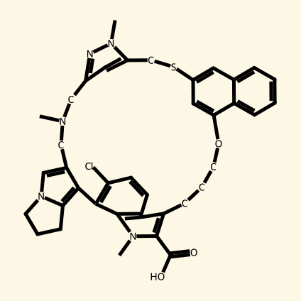 CN1Cc2cc(n(C)n2)CSc2cc(c3ccccc3c2)OCCCc2c(C(=O)O)n(C)c3c(c(Cl)ccc23)-c2c(cn3c2CCC3)C1